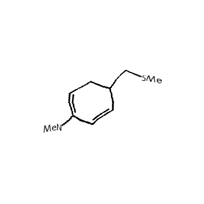 CNC1=CCC(CSC)C=C1